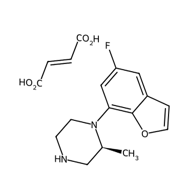 C[C@H]1CNCCN1c1cc(F)cc2ccoc12.O=C(O)/C=C/C(=O)O